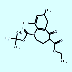 CCOC(=O)C1CCN(C(=O)OC(C)(C)C)C2=C(CC(C)C=C2C)C1=O